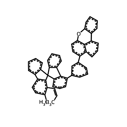 C/C=C\c1c(C)ccc2c1C1(c3ccccc3-2)c2ccccc2-c2c(-c3cccc(-c4ccc5c6c(cccc46)-c4ccccc4O5)c3)cccc21